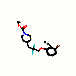 Cc1c(Br)cccc1OCC(F)(F)CC1CCN(C(=O)OC(C)(C)C)CC1